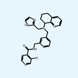 O=C(NCc1cccc(CN(Cc2ncc[nH]2)C2CCCc3cccnc32)c1)c1ccncc1Cl